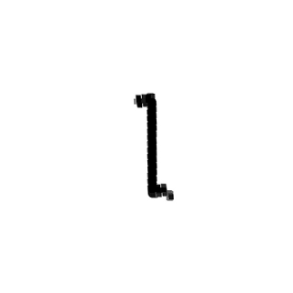 [CH]=CC=CC=CC=CC=CC=CC=CC=CC=CC=CC=CC=CCCCCCC